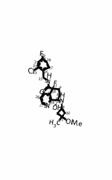 COC1(C)CC(N[C@]2(O)CC[C@@](F)(C(=O)NCc3ccc(F)cc3Cl)c3cccnc32)C1